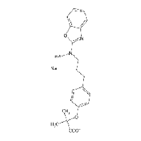 CCCN(CCCc1ccc(OC(C)(C)C(=O)[O-])cc1)c1nc2ccccc2o1.[Na+]